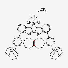 C[SiH](CCC(F)(F)F)[Zr]([Cl])([Cl])([CH]1C(CC2CCCCCC2)=Cc2c(-c3ccc(C45CC6CC(CC(C6)C4)C5)cc3)cccc21)[CH]1C(CC2CCCCCC2)=Cc2c(-c3ccc(C45CC6CC(CC(C6)C4)C5)cc3)cccc21